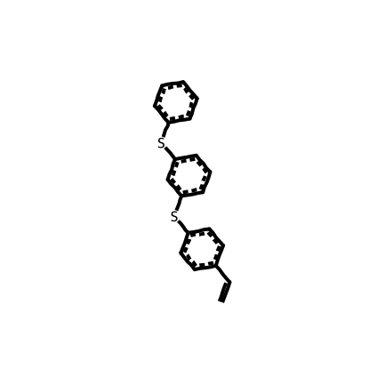 C=Cc1ccc(Sc2cccc(Sc3ccccc3)c2)cc1